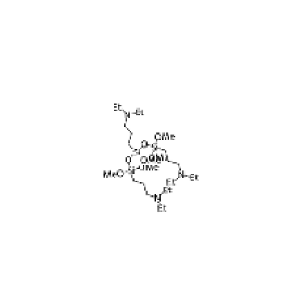 CCN(CC)CCC[Si](OC)(OC)O[Si](CCCN(CC)CC)(OC)O[Si](CCCN(CC)CC)(OC)OC